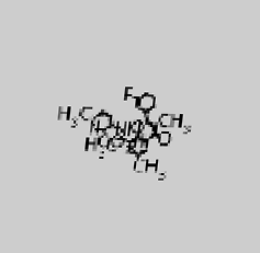 Cc1cc(C(C)Nc2ccc(C)nc2C(=O)O)c2oc(-c3cccc(F)c3)c(C)c(=O)c2c1